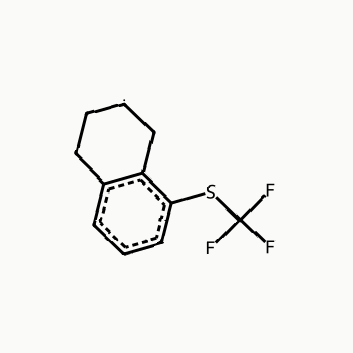 FC(F)(F)Sc1cccc2c1C[CH]CC2